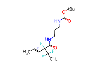 C/C=C/C(F)(C(=O)NCCCNC(=O)OC(C)(C)C)C(C)(F)F